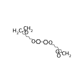 C=C1CC(CCCCOc2ccc(-c3ccc(OCCCCC4CC(=C)C(=O)O4)cc3)cc2)OC1=C